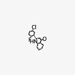 O=c1cc(-c2cc(Cl)ccc2F)[nH]c2ccccc12